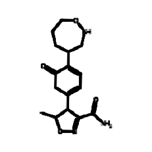 [CH2]C1ON=C(C(N)=O)C1C1=CC=C(C2CCCONC2)C(=O)C1